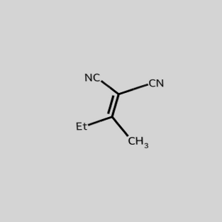 [CH2]CC(C)=C(C#N)C#N